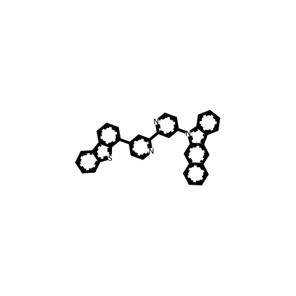 c1ccc2cc3c(cc2c1)c1ccccc1n3-c1ccnc(-c2cc(-c3cccc4c3sc3ccccc34)ccn2)c1